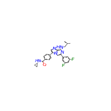 CC(C)CNc1nc(-c2cc(F)cc(F)c2)cn2c(-c3ccc(C(=O)NC4CC4)cc3)cnc12